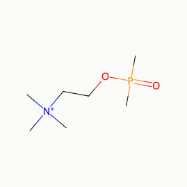 C[N+](C)(C)CCOP(C)(C)=O